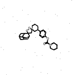 O=C(Oc1ccc(C2CCC[C@@]3(C2)CC2(OO3)C3CC4CC(C3)CC2C4)cc1)N1CCCCC1